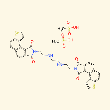 CS(=O)(=O)O.CS(=O)(=O)O.O=C1c2ccc3ccc4sccc4c3c2C(=O)N1CCNCCNCCN1C(=O)c2ccc3ccc4sccc4c3c2C1=O